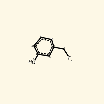 Oc1cccc(CF)c1